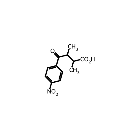 CC(C(=O)O)C(C)C(=O)c1ccc([N+](=O)[O-])cc1